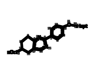 CCCCCCCCC1CCc2nc(-c3ccc(OCCCCCCC)cc3)ncc2C1